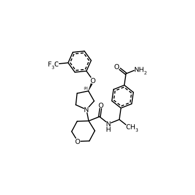 CC(NC(=O)C1(N2CC[C@@H](Oc3cccc(C(F)(F)F)c3)C2)CCOCC1)c1ccc(C(N)=O)cc1